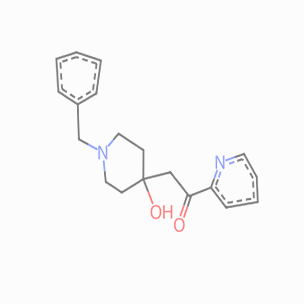 O=C(CC1(O)CCN(Cc2ccccc2)CC1)c1ccccn1